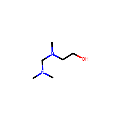 CN(C)CN(C)CCO